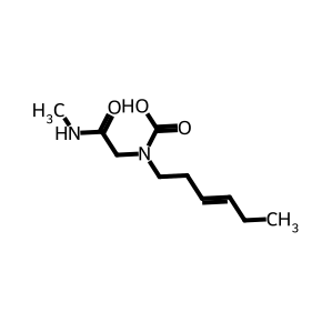 CCC=CCCN(CC(=O)NC)C(=O)O